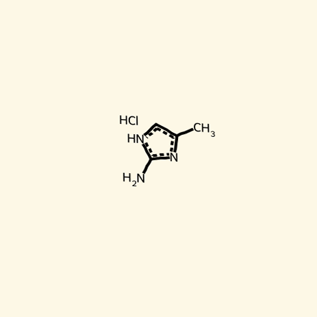 Cc1c[nH]c(N)n1.Cl